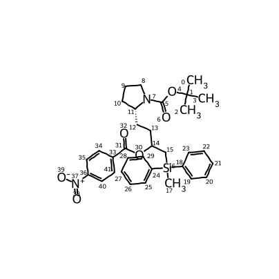 CC(C)(C)OC(=O)N1CCC[C@H]1CCC(C[Si](C)(c1ccccc1)c1ccccc1)OC(=O)c1ccc([N+](=O)[O-])cc1